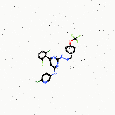 Fc1cccc(Cl)c1-c1cc(Nc2ccc(Cl)nc2)nc(N/N=C\c2ccc(OC(F)(F)F)cc2)n1